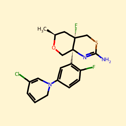 C[C@H]1C[C@@]2(F)CSC(N)=N[C@@]2(c2cc(N3C=C(Cl)C=CC3)ccc2F)CO1